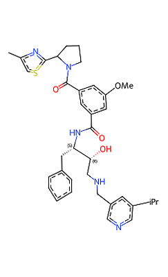 COc1cc(C(=O)N[C@@H](Cc2ccccc2)[C@H](O)CNCc2cncc(C(C)C)c2)cc(C(=O)N2CCCC2c2nc(C)cs2)c1